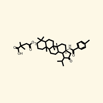 Cc1ccc(C(=O)N[C@@]23CC[C@]4(C)C(CCC5C6(C)CC[C@H](OC(=O)CC(C)(C)C(=O)O)C(C)(C)C6CCC54C)C2C(C(C)C)C(=O)C3)cc1